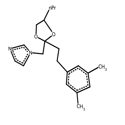 CCCC1COC(CCc2cc(C)cc(C)c2)(Cn2ccnc2)O1